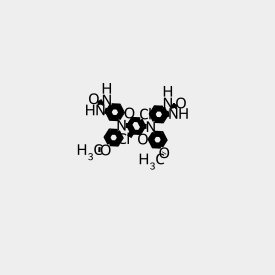 COc1ccc(N(C2=C(Cl)C(=O)C(N(c3ccc(OC)cc3)c3ccc4[nH]c(=O)[nH]c4c3)=C(Cl)C2=O)c2ccc3[nH]c(=O)[nH]c3c2)cc1